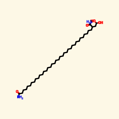 NC(=O)CCCCCCCCCCCCCCCCCCCCCCCCCCCCCCCCCCCC(CC(O)O)C(N)=O